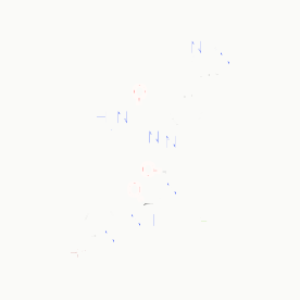 NC(=O)c1nn(CC(=O)N2CC(F)C[C@H]2C(=O)Nc2cccc(Br)n2)c2ccc(-c3cncnc3)cc12